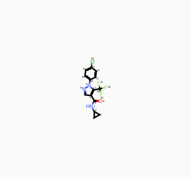 O=C(NC1CC1)c1cnn(-c2ccc(Cl)cc2)c1C(F)(F)F